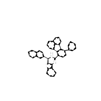 c1ccc(-c2ccc(C3=Nc4c(sc5ccccc45)C(c4ccc5ccccc5c4)N3)c3c2-c2cccc4cccc-3c24)cc1